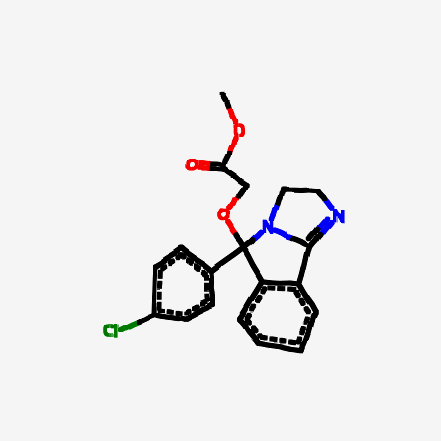 COC(=O)COC1(c2ccc(Cl)cc2)c2ccccc2C2=NCCN21